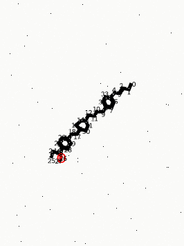 CC/C=C/Cc1ccc(CCCCC2CCC(CCc3ccc(C(CC)OC)cc3)CC2)cc1